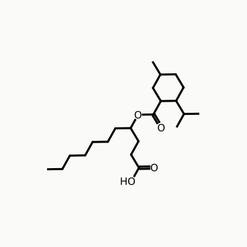 CCCCCCCC(CCC(=O)O)OC(=O)C1CC(C)CCC1C(C)C